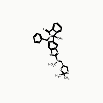 CC(=O)OC1(c2ccc3[nH]c(N(C[C@H]4COC(C)(C)O4)C(=O)O)nc3c2)c2ccccc2C(=O)N1Cc1ccccc1